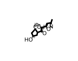 Cc1cc([C@H](C(=O)C2C[C@H](O)CC2C(=O)O)C(C)C)on1